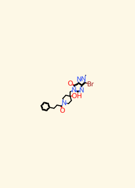 Cn1nc2c(=O)n(CC3(O)CCN(C(=O)CCc4ccccc4)CC3)cnc2c1Br